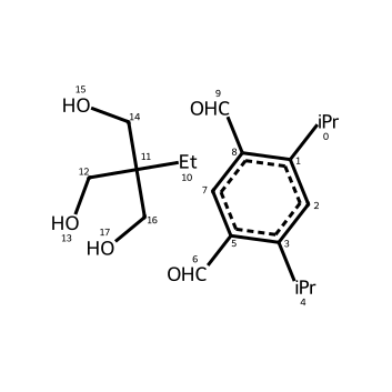 CC(C)c1cc(C(C)C)c(C=O)cc1C=O.CCC(CO)(CO)CO